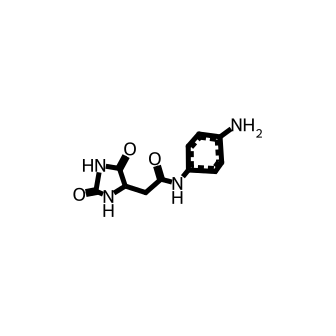 Nc1ccc(NC(=O)CC2NC(=O)NC2=O)cc1